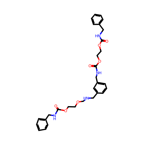 O=C(NCc1ccccc1)OCCOCNCc1cccc(CNC(=O)OCCOC(=O)NCc2ccccc2)c1